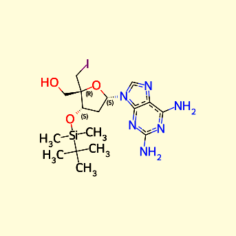 CC(C)(C)[Si](C)(C)O[C@H]1C[C@@H](n2cnc3c(N)nc(N)nc32)O[C@@]1(CO)CI